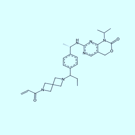 C=CC(=O)N1CC2(C1)CN(C(CC)c1ccc([C@H](C)Nc3ncc4c(n3)N(C(C)C)C(=O)OC4)cc1)C2